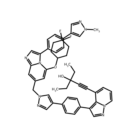 CCC(O)(C#Cc1cccn2ncc(-c3ccc(-c4cnn(Cc5cc(OC6CCC(F)(F)CC6)n6c(-c7ccc(-c8cnn(C)c8)cc7)cnc6c5)c4)cc3)c12)CC